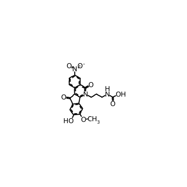 COc1cc2c(cc1O)C(=O)c1c-2n(CCCNC(=O)O)c(=O)c2cc([N+](=O)[O-])ccc12